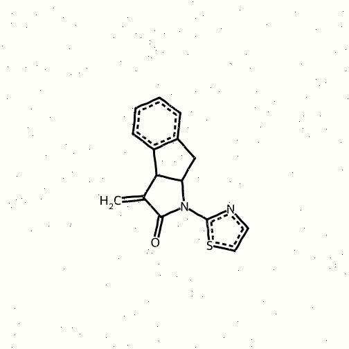 C=C1C(=O)N(c2nccs2)C2Cc3ccccc3C12